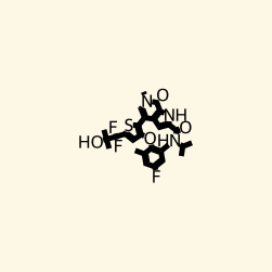 Cc1cc(F)cc(C)c1Oc1cc(C(F)(F)C(C)(C)O)sc1-c1cn(C)c(=O)c2[nH]c(C(=O)NC(C)C)cc12